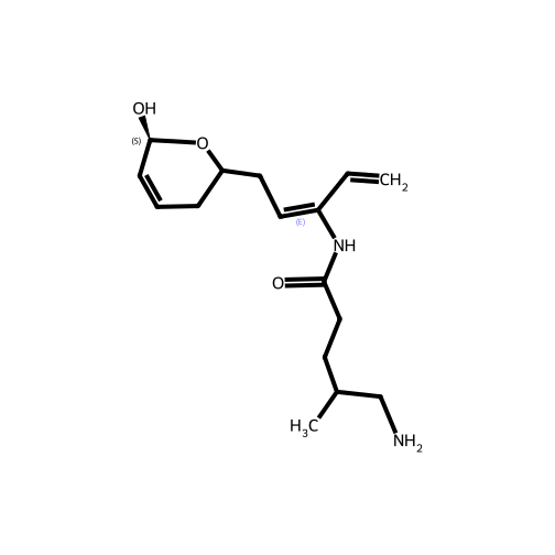 C=C/C(=C\CC1CC=C[C@@H](O)O1)NC(=O)CCC(C)CN